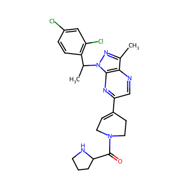 Cc1nn(C(C)c2ccc(Cl)cc2Cl)c2nc(C3=CCN(C(=O)C4CCCN4)CC3)cnc12